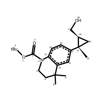 CC(C)(C)OC(=O)N1CCC(C)(C)c2cc([C@@]3(C)C[C@@H]3CO)ccc21